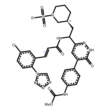 CCS(=O)(=O)N1CCC[C@@H](CC(NC(=O)/C=C/c2cc(Cl)ccc2-n2cnnn2)c2cc(-c3ccc(NC(=O)OC)cc3)c(=O)[nH]n2)C1